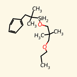 CCCOCC(C)(C)CO[SiH2]C(C)(C)Cc1ccccc1